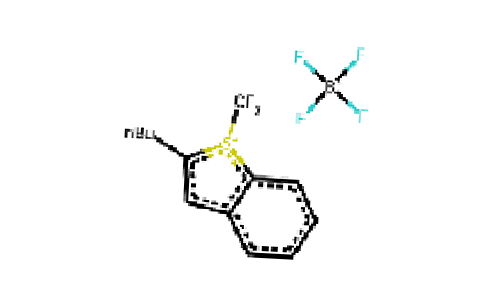 CCCCc1cc2ccccc2[s+]1C(F)(F)F.F[B-](F)(F)F